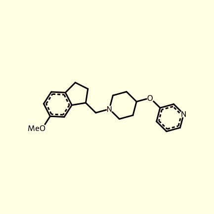 COc1ccc2c(c1)C(CN1CCC(Oc3cccnc3)CC1)CC2